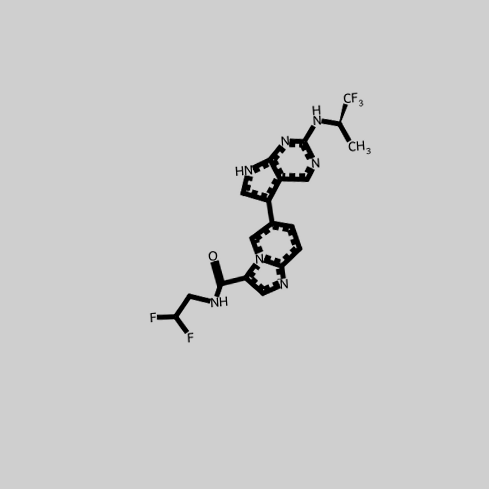 C[C@@H](Nc1ncc2c(-c3ccc4ncc(C(=O)NCC(F)F)n4c3)c[nH]c2n1)C(F)(F)F